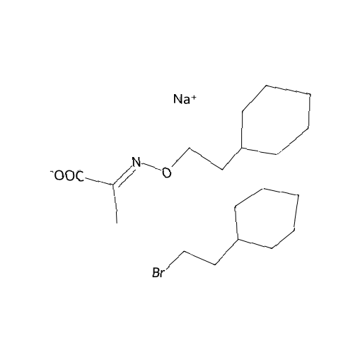 BrCCC1CCCCC1.CC(=NOCCC1CCCCC1)C(=O)[O-].[Na+]